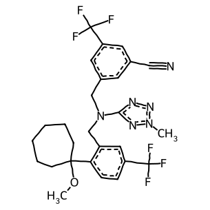 COC1(c2ccc(C(F)(F)F)cc2CN(Cc2cc(C#N)cc(C(F)(F)F)c2)c2nnn(C)n2)CCCCCC1